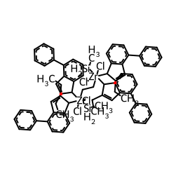 CCC1=Cc2c(-c3ccccc3)cccc2[CH]1[Zr]([Cl])([Cl])([CH2][CH2][Zr]([Cl])([Cl])([SiH2]C)([CH]1C(CC)=Cc2c(-c3ccccc3)cccc21)[CH]1C(CC)=Cc2c(-c3ccccc3)cccc21)([SiH2]C)[CH]1C(CC)=Cc2c(-c3ccccc3)cccc21